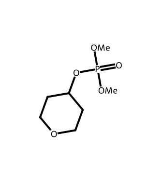 COP(=O)(OC)OC1CCOCC1